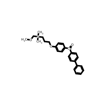 COC[Si](C)(C)CCCOc1cc[c]([Co](=[O])[c]2ccc(-c3ccccc3)cc2)cc1